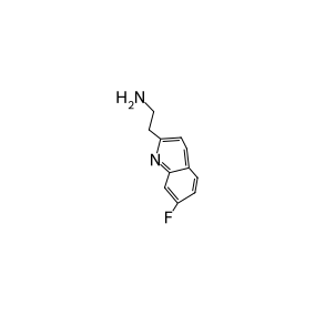 NCCc1ccc2ccc(F)cc2n1